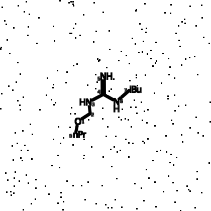 CCCOCNC(=N)NC(C)CC